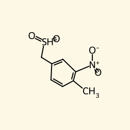 Cc1ccc(C[SH](=O)=O)cc1[N+](=O)[O-]